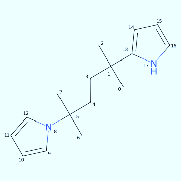 CC(C)(CCC(C)(C)n1cccc1)c1ccc[nH]1